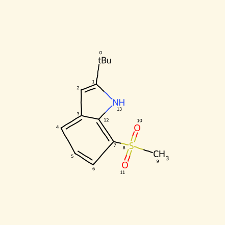 CC(C)(C)c1cc2cccc(S(C)(=O)=O)c2[nH]1